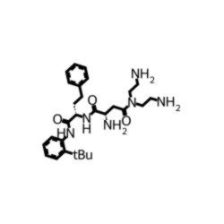 CC(C)(C)c1ccccc1NC(=O)[C@H](CCc1ccccc1)NC(=O)[C@@H](N)CC(=O)N(CCN)CCN